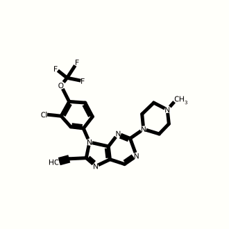 C#Cc1nc2cnc(N3CCN(C)CC3)nc2n1-c1ccc(OC(F)(F)F)c(Cl)c1